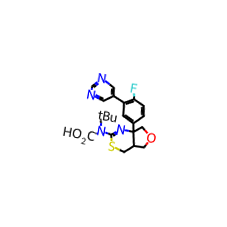 CC(C)(C)N(C(=O)O)C1=NC2(c3ccc(F)c(-c4cncnc4)c3)COCC2CS1